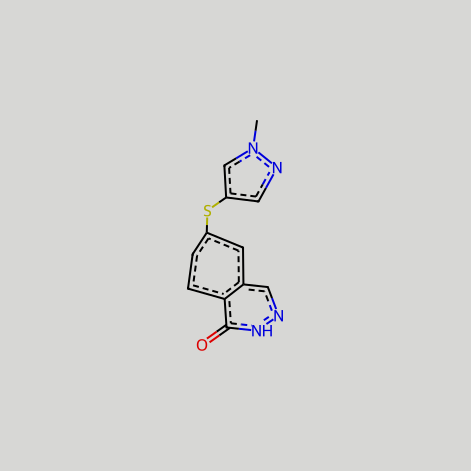 Cn1cc(Sc2ccc3c(=O)[nH]ncc3c2)cn1